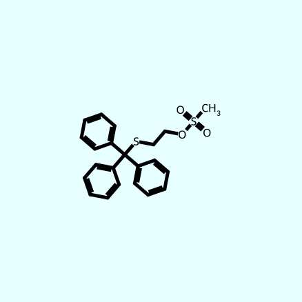 CS(=O)(=O)OCCSC(c1ccccc1)(c1ccccc1)c1ccccc1